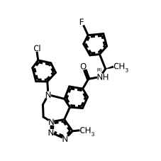 Cc1nnn2c1-c1ccc(C(=O)N[C@H](C)c3ccc(F)cc3)cc1N(c1ccc(Cl)cc1)CC2